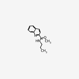 CCCNN(OC)c1ccc2ccccc2n1